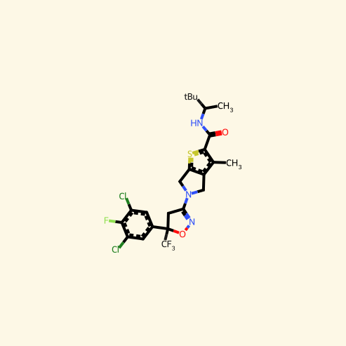 Cc1c(C(=O)NC(C)C(C)(C)C)sc2c1CN(C1=NOC(c3cc(Cl)c(F)c(Cl)c3)(C(F)(F)F)C1)C2